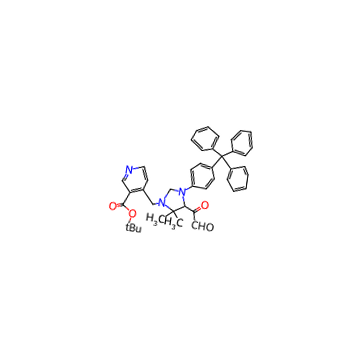 CC(C)(C)OC(=O)c1cnccc1CN1CN(c2ccc(C(c3ccccc3)(c3ccccc3)c3ccccc3)cc2)C(C(=O)C=O)C1(C)C